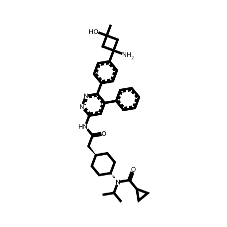 CC(C)N(C(=O)C1CC1)[C@H]1CC[C@H](CC(=O)Nc2cc(-c3ccccc3)c(-c3ccc(C4(N)CC(C)(O)C4)cc3)nn2)CC1